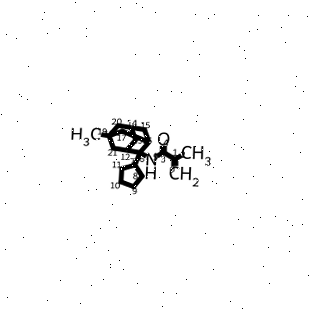 C=C(C)C(=O)NC1(C2CCCC2)C2CC3CC1CC(C)(C3)C2